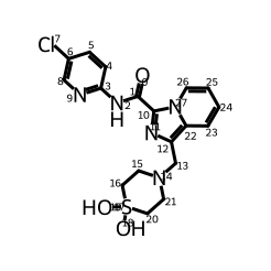 O=C(Nc1ccc(Cl)cn1)c1nc(CN2CCS(O)(O)CC2)c2ccccn12